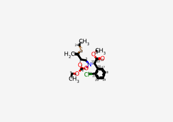 C=C(CCN(OC(=O)OCC)[C@H](C(=O)OC)c1ccccc1Cl)SCC